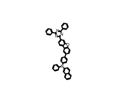 c1ccc(-c2nc(-c3ccccc3)nc(-c3ccc4c(c3)oc3ccc(-c5ccc(N(c6ccccc6)c6ccc7ccccc7c6)cc5)cc34)n2)cc1